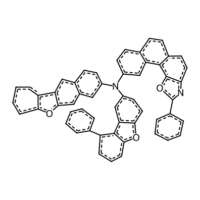 c1ccc(-c2nc3ccc4ccc5ccc(N(c6ccc7cc8c(cc7c6)oc6ccccc68)c6ccc7oc8cccc(-c9ccccc9)c8c7c6)cc5c4c3o2)cc1